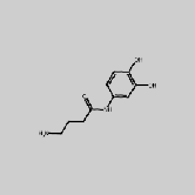 NCCCC(=O)Nc1ccc(O)c(O)c1